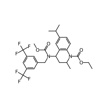 CCOC(=O)N1c2ccc(C(C)C)cc2C(N(Cc2cc(C(F)(F)F)cc(C(F)(F)F)c2)C(=O)OC)CC1C